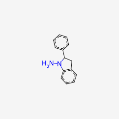 NN1c2ccccc2CC1c1ccccc1